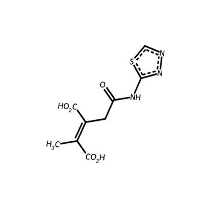 C/C(C(=O)O)=C(/CC(=O)Nc1nncs1)C(=O)O